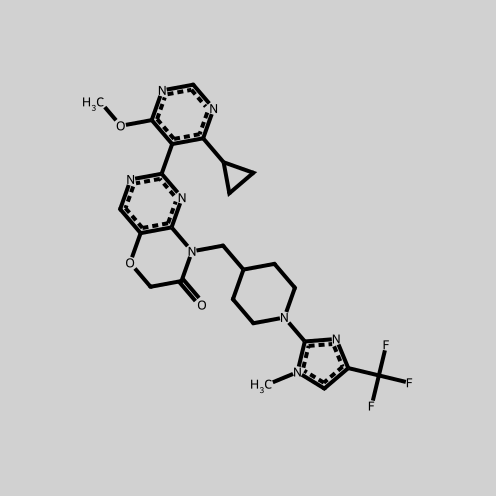 COc1ncnc(C2CC2)c1-c1ncc2c(n1)N(CC1CCN(c3nc(C(F)(F)F)cn3C)CC1)C(=O)CO2